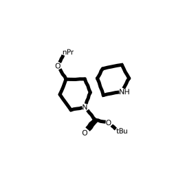 C1CCNCC1.CCCOC1CCN(C(=O)OC(C)(C)C)CC1